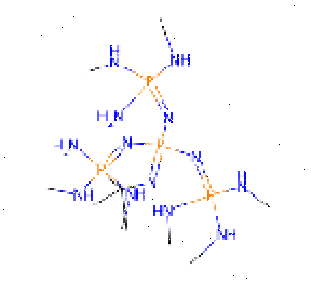 CNP(N)(=NP(=NC(C)(C)C)(N=P(N)(NC)NC)N=P(NC)(NC)NC)NC